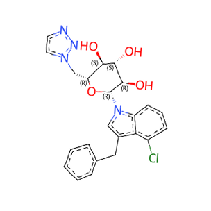 O[C@@H]1[C@@H](O)[C@H](n2cc(Cc3ccccc3)c3c(Cl)cccc32)O[C@H](Cn2ccnn2)[C@H]1O